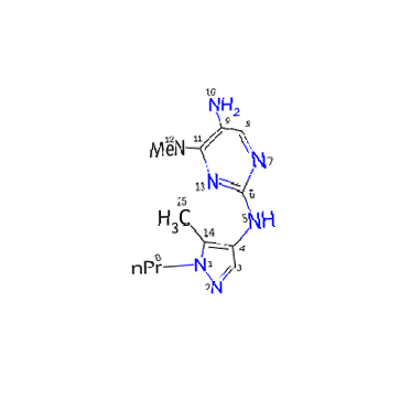 CCCn1ncc(Nc2ncc(N)c(NC)n2)c1C